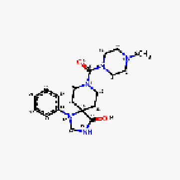 CN1CCN(C(=O)N2CCC3(CC2)C(=O)NCN3c2ccccc2)CC1